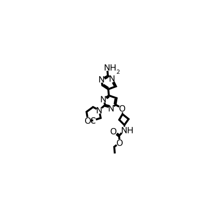 CCOC(=O)N[C@H]1C[C@H](Oc2cc(-c3cnc(N)nc3)nc(N3CCOCC3)n2)C1